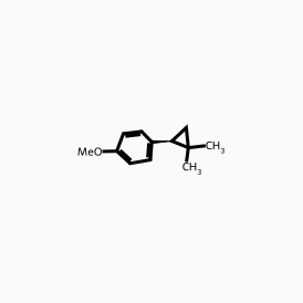 COc1ccc([C@H]2CC2(C)C)cc1